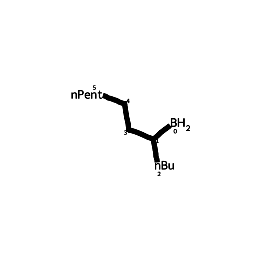 BC(CCCC)CCCCCCC